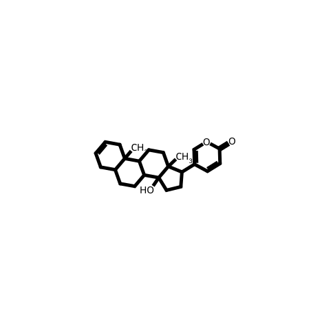 CC12CC=CCC1CCC1C2CCC2(C)C(c3ccc(=O)oc3)CCC12O